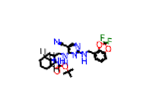 CC(C)(C)OC(=O)N[C@@H]1[C@@H]2CCC[C@H]1CC(CNc1nc(NCc3cccc4c3OC(F)(F)O4)ncc1C#N)C2